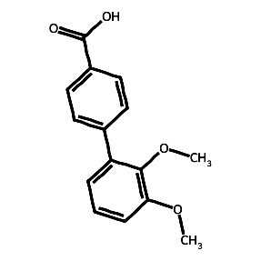 COc1cccc(-c2ccc(C(=O)O)cc2)c1OC